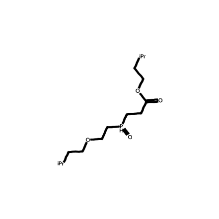 CC(C)CCOCC[PH](=O)CCC(=O)OCCC(C)C